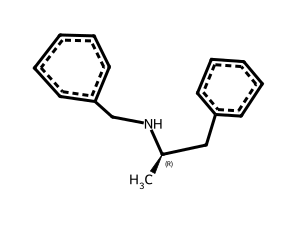 C[C@H](Cc1ccccc1)NCc1ccccc1